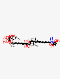 CCC(C/C=C/C=C/C=C/C=C/C=C/C(O)C(C)C(O)C(C)/C=C/CC/C=C/C=C/C=C/C=C/C(=O)NC1=C(O)CCC1=O)OC1OC(C)C(O)C(O)C1O